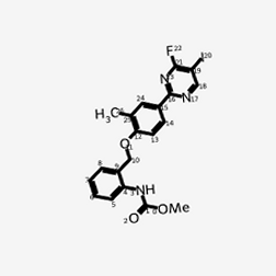 COC(=O)Nc1ccccc1COc1ccc(-c2ncc(I)c(F)n2)cc1C